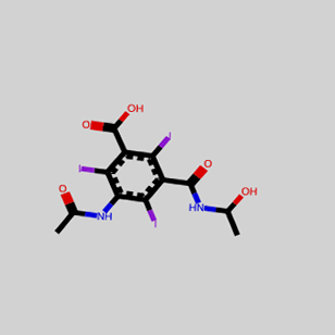 CC(=O)Nc1c(I)c(C(=O)O)c(I)c(C(=O)NC(C)O)c1I